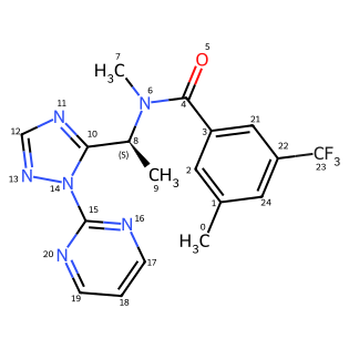 Cc1cc(C(=O)N(C)[C@@H](C)c2ncnn2-c2ncccn2)cc(C(F)(F)F)c1